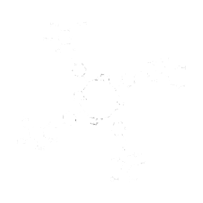 OCC1CC(SCc2ccc(-c3c4nc(c(-c5ccc(CSC6CC(CO)C(O)C(O)C6O)cc5)c5ccc([nH]5)c(-c5ccc(CSC(O)C6(O)C(O)C(O)C6CO)cc5)c5nc(c(-c6ccc(CSC(O)C7(O)C(O)C(O)C7CO)cc6)c6ccc3[nH]6)C=C5)C=C4)cc2)C(O)C(O)C1O